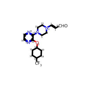 O=CC=CN1CCN(c2nccnc2OC2CCC(C(F)(F)F)CC2)CC1